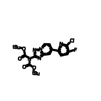 CC(C)(C)OC(=O)N(C(=O)OC(C)(C)C)c1nc2cc(-c3ccc(F)c(Cl)n3)ccn2n1